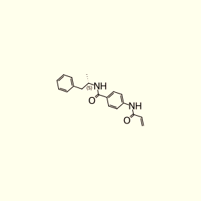 C=CC(=O)Nc1ccc(C(=O)N[C@@H](C)Cc2ccccc2)cc1